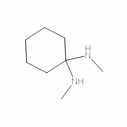 CNC1(NC)C[CH]CCC1